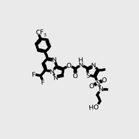 Cc1nc(NC(=O)Oc2cnn3c(C(F)F)cc(-c4ccc(C(F)(F)F)cc4)nc23)sc1S(=O)(=O)N(C)CCO